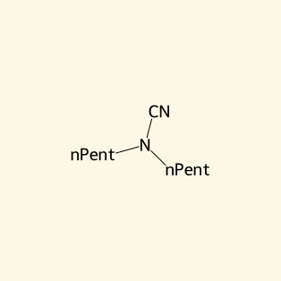 CCCCCN(C#N)CCCCC